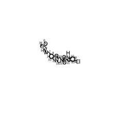 COC(CN(C)/N=C/c1ccc(CN2CCN(S(=O)(=O)c3cc4cc(Cl)ccc4[nH]3)CC2=O)cc1)OC